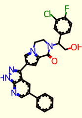 O=C1c2cc(-c3n[nH]c4ncc(-c5ccccc5)cc34)cn2CCN1C(CO)c1ccc(F)c(Cl)c1